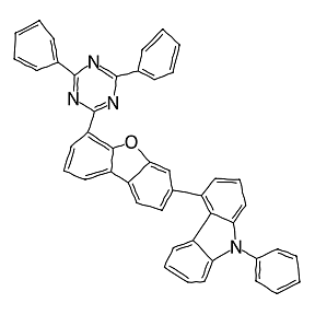 c1ccc(-c2nc(-c3ccccc3)nc(-c3cccc4c3oc3cc(-c5cccc6c5c5ccccc5n6-c5ccccc5)ccc34)n2)cc1